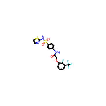 O=C(COc1cccc(C(F)(F)F)c1F)Nc1ccc(S(=O)(=O)Nc2nccs2)cc1